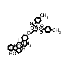 Cc1ccc(S(=O)(=O)OCC(COC2CC[C@@]3(C)C(CC[C@@H]4[C@H]3CC[C@]3(C)C(O)(c5ccccc5)CC[C@@]43O)C2)OS(=O)(=O)c2ccc(C)cc2)cc1